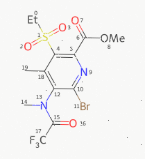 CCS(=O)(=O)c1c(C(=O)OC)nc(Br)c(N(C)C(=O)C(F)(F)F)c1C